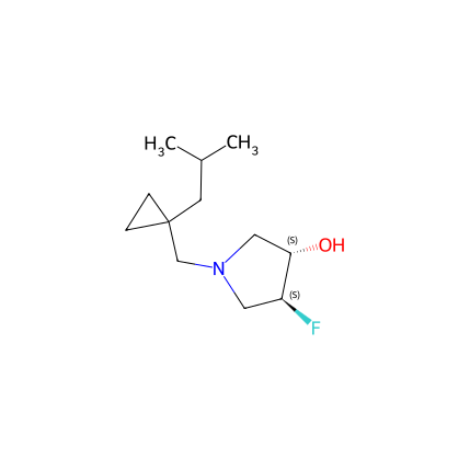 CC(C)CC1(CN2C[C@H](O)[C@@H](F)C2)CC1